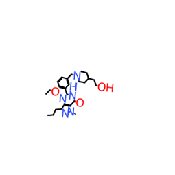 CCCc1nn(C)c2c(=O)[nH]c(-c3cc(CN4CCC(CCO)CC4)ccc3OCC)nc12